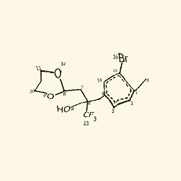 Cc1ccc(C(O)(CC2OCCO2)C(F)(F)F)cc1Br